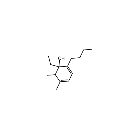 CCCCC1=CC=C(C)C(C)C1(O)CC